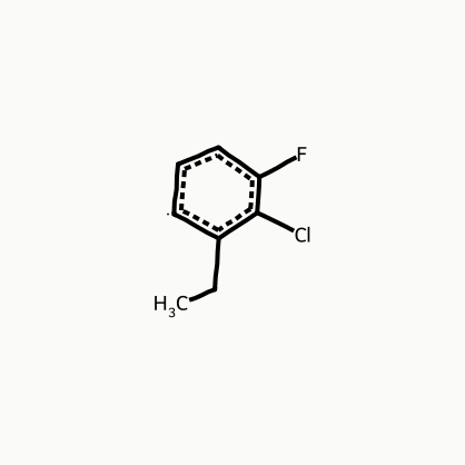 CCc1[c]ccc(F)c1Cl